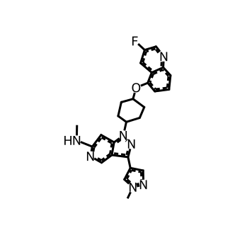 CNc1cc2c(cn1)c(-c1cnn(C)c1)nn2C1CCC(Oc2cccc3ncc(F)cc23)CC1